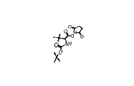 CC(C)(C)OC(=O)N[C@H](C(=O)ON1C(=O)CCC1=O)C(C)(C)C